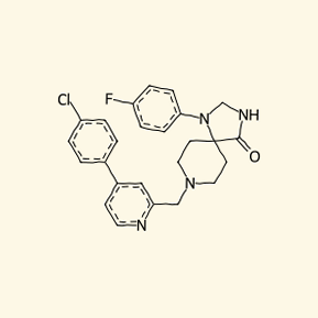 O=C1NCN(c2ccc(F)cc2)C12CCN(Cc1cc(-c3ccc(Cl)cc3)ccn1)CC2